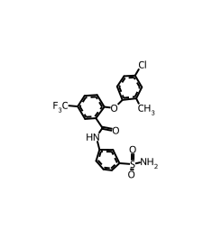 Cc1cc(Cl)ccc1Oc1ccc(C(F)(F)F)cc1C(=O)Nc1cccc(S(N)(=O)=O)c1